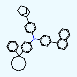 c1ccc(C2(c3ccc(N(c4ccc(-c5cccc6ccccc56)cc4)c4ccc(C5CC6CCC5C6)cc4)cc3)CCCCCCC2)cc1